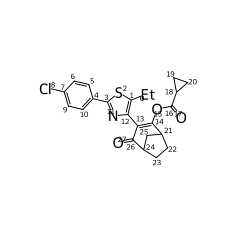 CCc1sc(-c2ccc(Cl)cc2)nc1C1=C(OC(=O)C2CC2)C2CCC(C2)C1=O